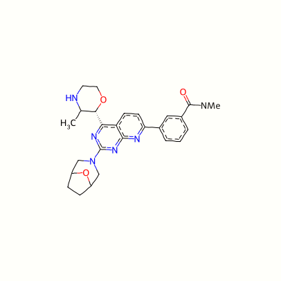 CNC(=O)c1cccc(-c2ccc3c([C@H]4OCCNC4C)nc(N4CC5CCC(C4)O5)nc3n2)c1